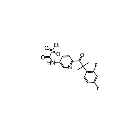 CCS(=O)(=O)C(=O)Nc1ccc(C(=O)C(C)(C)c2ccc(F)cc2F)nc1